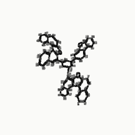 c1ccc2c(c1)ccc1oc3c(-c4cc(-c5ccc6c(c5)oc5ccccc56)cc(-c5cc6ccccc6c6c5oc5ccc7ccccc7c56)c4)cc4ccccc4c3c12